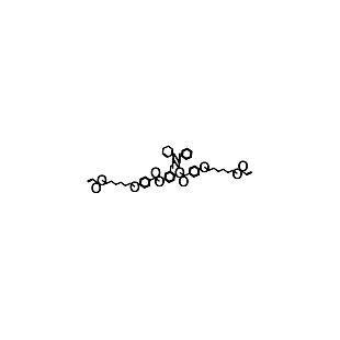 C=CC(=O)OCCCCCCOc1ccc(C(=O)Oc2ccc(OC(=O)c3ccc(OCCCCCCOC(=O)C=C)cc3)c(/C=N/N(C3=CCCC=C3)c3ccccc3)c2)cc1